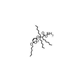 CCCCCCOC(=O)/C=C\C(=O)OC(CCCCCC)(CCCCCC)C(CCCCCC)C(=O)O[SiH3]